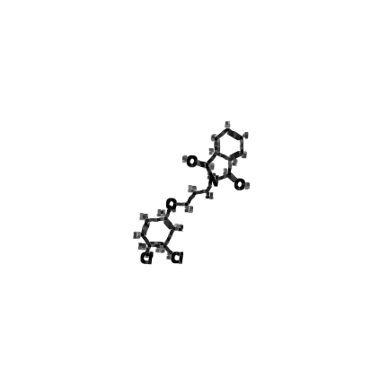 O=C1c2ccccc2C(=O)N1CCCOc1ccc(Cl)c(Cl)c1